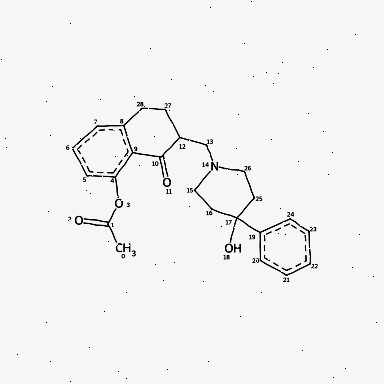 CC(=O)Oc1cccc2c1C(=O)C(CN1CCC(O)(c3ccccc3)CC1)CC2